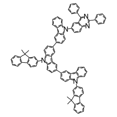 CC1(C)c2ccccc2-c2ccc(-n3c4ccccc4c4cc(-c5ccc6c(c5)c5cc(-c7ccc8c(c7)c7ccccc7n8-c7ccc8nc(-c9ccccc9)nc(-c9ccccc9)c8c7)ccc5n6-c5ccc6c(c5)C(C)(C)c5ccccc5-6)ccc43)cc21